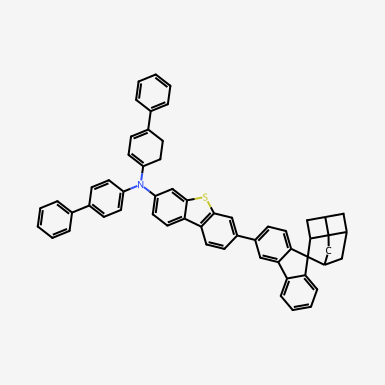 C1=C(c2ccccc2)CCC(N(c2ccc(-c3ccccc3)cc2)c2ccc3c(c2)sc2cc(-c4ccc5c(c4)-c4ccccc4C54C5CC6CC7CC4C67C5)ccc23)=C1